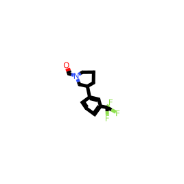 O=CN1CCCC(c2cccc(C(F)(F)F)c2)C1